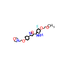 COCCOc1cc2[nH]nc(-c3cc(-c4ccc(OCCN5CCOCC5)cc4)no3)c2cc1F